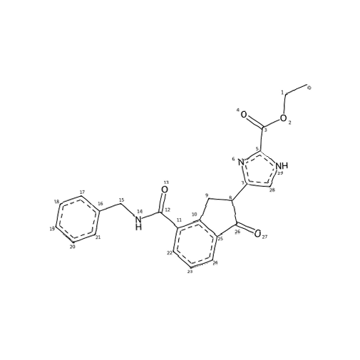 CCOC(=O)c1nc(C2Cc3c(C(=O)NCc4ccccc4)cccc3C2=O)c[nH]1